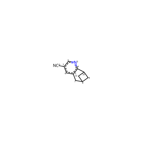 N#Cc1cnc2c(c1)CC1CC2C1